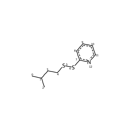 CC(C)CCSSc1ccccn1